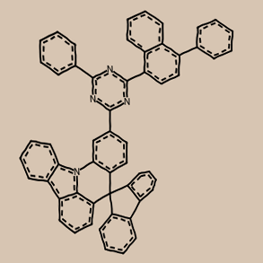 c1ccc(-c2nc(-c3ccc4c(c3)-n3c5ccccc5c5cccc(c53)C43c4ccccc4-c4ccccc43)nc(-c3ccc(-c4ccccc4)c4ccccc34)n2)cc1